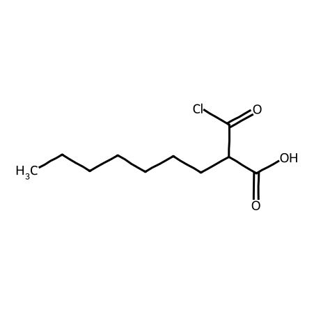 CCCCCCCC(C(=O)O)C(=O)Cl